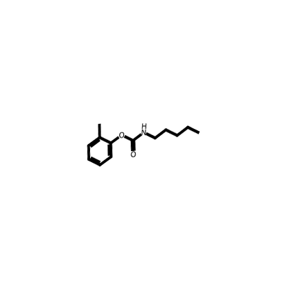 CCCCCNC(=O)Oc1ccccc1C